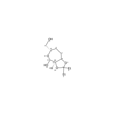 CCC1(CC)OC2CC[C@@H](CO)OC(O)[C@@H]2O1